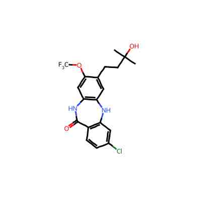 CC(C)(O)CCc1cc2c(cc1OC(F)(F)F)NC(=O)c1ccc(Cl)cc1N2